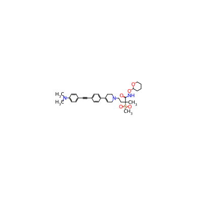 CN(C)c1ccc(C#Cc2ccc(C3=CCN(CCC(C)(C(=O)NOC4CCCCO4)S(C)(=O)=O)CC3)cc2)cc1